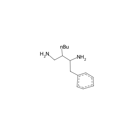 CCCCC(CN)C(N)Cc1ccccc1